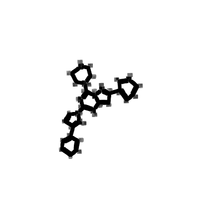 c1ccc(-c2ccn(-c3nc(N4CCOCC4)n4nc(-c5cccnc5)cc4n3)n2)cc1